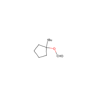 CC(C)(C)C1(OC=O)CCCC1